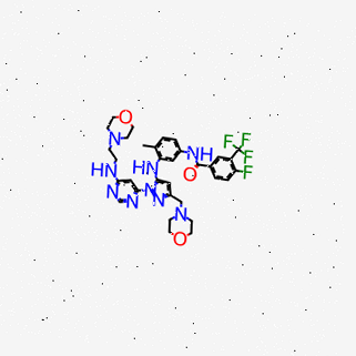 Cc1ccc(NC(=O)c2ccc(F)c(C(F)(F)F)c2)cc1Nc1cc(CN2CCOCC2)nn1-c1cc(NCCN2CCOCC2)ncn1